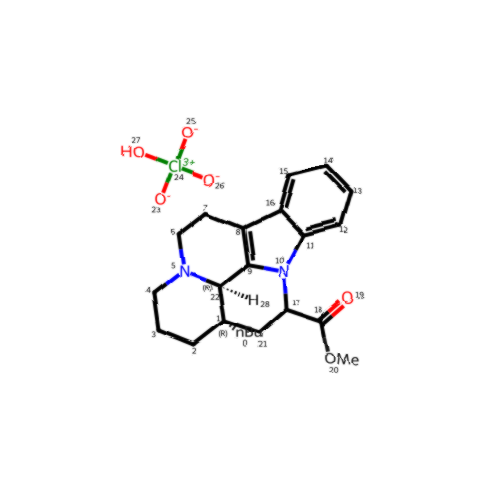 CCCC[C@@]12CCCN3CCc4c(n(c5ccccc45)C(C(=O)OC)C1)[C@H]32.[O-][Cl+3]([O-])([O-])O